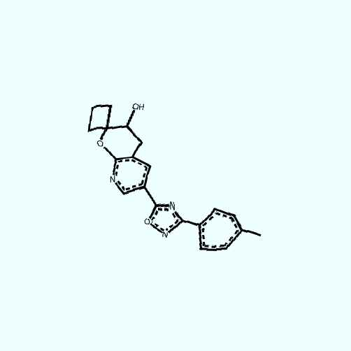 Cc1ccc(-c2noc(-c3cnc4c(c3)CC(O)C3(CCC3)O4)n2)cc1